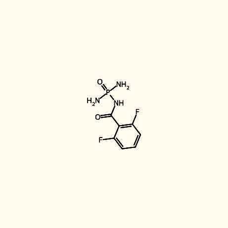 NP(N)(=O)NC(=O)c1c(F)cccc1F